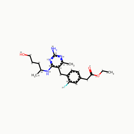 CCOC(=O)Cc1ccc(Cc2c(C)nc(N)nc2NC(C)CCCO)c(F)c1